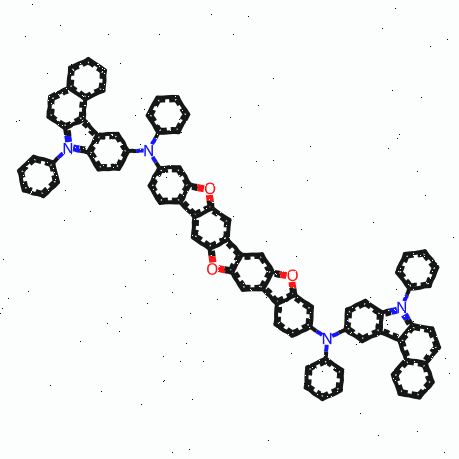 c1ccc(N(c2ccc3c(c2)oc2cc4c(cc23)oc2cc3c(cc24)oc2cc(N(c4ccccc4)c4ccc5c(c4)c4c6ccccc6ccc4n5-c4ccccc4)ccc23)c2ccc3c(c2)c2c4ccccc4ccc2n3-c2ccccc2)cc1